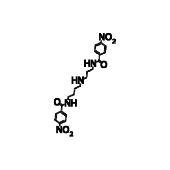 O=C(NCCCCNCCCNC(=O)c1ccc([N+](=O)[O-])cc1)c1ccc([N+](=O)[O-])cc1